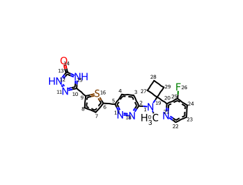 CN(c1ccc(-c2ccc(-c3n[nH]c(=O)[nH]3)s2)nn1)C1(c2ncccc2F)CCC1